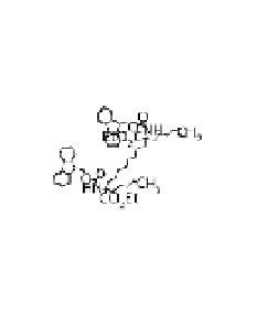 C=CCCCC(CCCC=CCCCC(CCCC=C)(NC(=O)OCC1c2ccccc2-c2ccccc21)C(=O)OCC)(NC(=O)OCC1c2ccccc2-c2ccccc21)C(=O)OCC